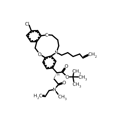 C=CCCCCN1CCCCc2cc(Cl)ccc2COc2ccc([C@@H](CC(=O)N(C)CC=C)C(=O)OC(C)(C)C)cc21